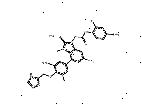 COc1cc(-c2cc(C(F)(F)F)cc3c2n(C)c(=O)n3CC(=O)Nc2ccc(SC)cc2F)cc(F)c1OCc1nnc[nH]1.Cl